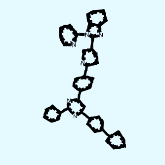 c1ccc(-c2ccc(-c3cc(-c4ccc(-c5ccc(-c6nc7ccccc7n6-c6ccccn6)cn5)cc4)nc(-c4ccccc4)n3)cc2)cc1